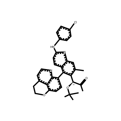 CC(=O)[C@@H](OC(C)(C)C)c1c(C)cc2nc(Nc3ccc(Cl)cc3)ccc2c1-c1ccc2c3c(ccnc13)CCO2